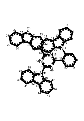 c1ccc(-n2c3ccccc3c3ccccc32)c(-c2nc(-c3ccc4sc5ccccc5c4c3)nc(-n3c4ccccc4c4ccccc43)n2)c1